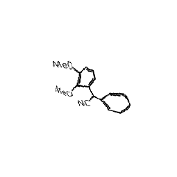 COc1cccc(C(C#N)c2ccccc2)c1OC